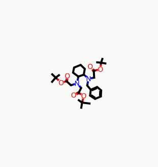 CC(C)(C)OC(=O)CN(CC(=O)OC(C)(C)C)C1CCCCC1N(CC(=O)OC(C)(C)C)Cc1ccccc1